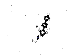 C/C=C/[C@@H]1CC(=O)C(c2c(C)cc(-c3ncc(Cl)cn3)cc2C)C1=O